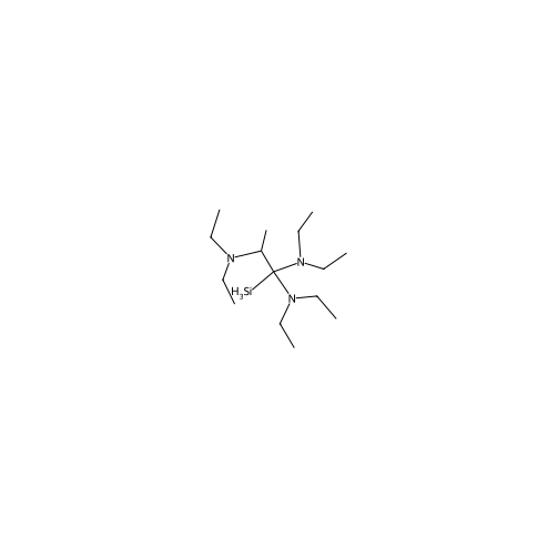 CCN(CC)C(C)C([SiH3])(N(CC)CC)N(CC)CC